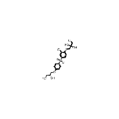 O=S(=O)(c1ccc(OC[C@H](O)CO)cc1)c1ccc(OCC(O)(O)CCl)c(Cl)c1